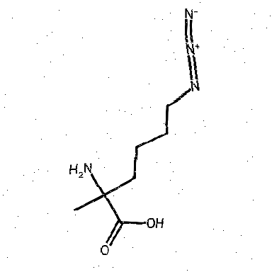 CC(N)(CCCCN=[N+]=[N-])C(=O)O